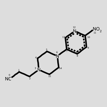 N#CCCN1CCN(c2ccc([N+](=O)[O-])nc2)CC1